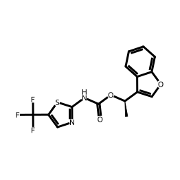 C[C@@H](OC(=O)Nc1ncc(C(F)(F)F)s1)c1coc2ccccc12